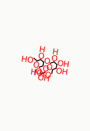 OCC1OC(OC2C(O)C(CO)OC(OI)C2OCC(O)O)C(O)C(O)C1O